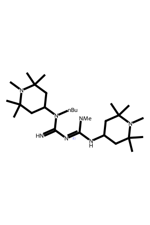 CCCCN(C(=N)/N=C(\NC)NC1CC(C)(C)N(C)C(C)(C)C1)C1CC(C)(C)N(C)C(C)(C)C1